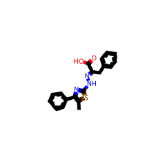 Cc1sc(N/N=C(\Cc2ccccc2)C(=O)O)nc1-c1ccccc1